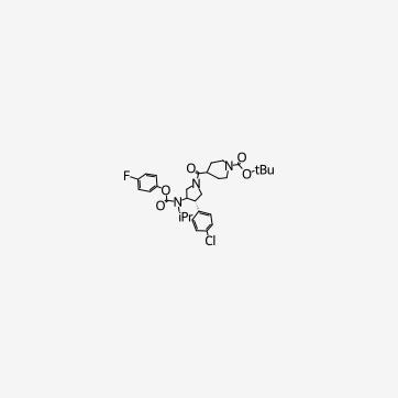 CC(C)N(C(=O)Oc1ccc(F)cc1)C1CN(C(=O)C2CCN(C(=O)OC(C)(C)C)CC2)C[C@@H]1c1ccc(Cl)cc1